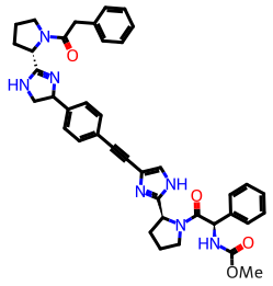 COC(=O)N[C@@H](C(=O)N1CCC[C@H]1c1nc(C#Cc2ccc(C3CNC([C@@H]4CCCN4C(=O)Cc4ccccc4)=N3)cc2)c[nH]1)c1ccccc1